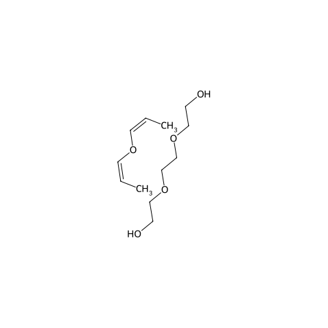 C/C=C\O/C=C\C.OCCOCCOCCO